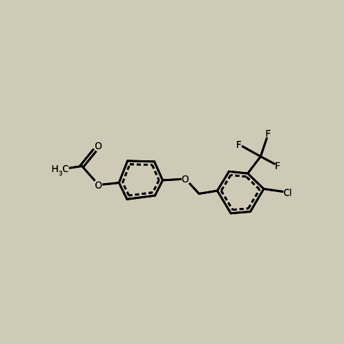 CC(=O)Oc1ccc(OCc2ccc(Cl)c(C(F)(F)F)c2)cc1